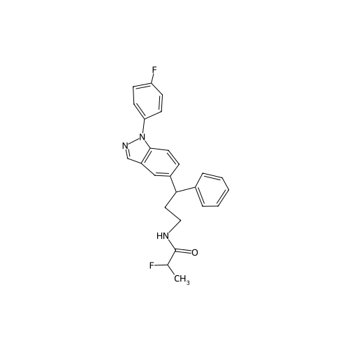 CC(F)C(=O)NCCC(c1ccccc1)c1ccc2c(cnn2-c2ccc(F)cc2)c1